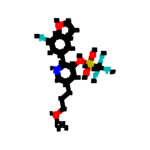 COCCCc1cnc(-c2cc(F)c3occc3c2)c(OS(=O)(=O)C(F)(F)F)c1